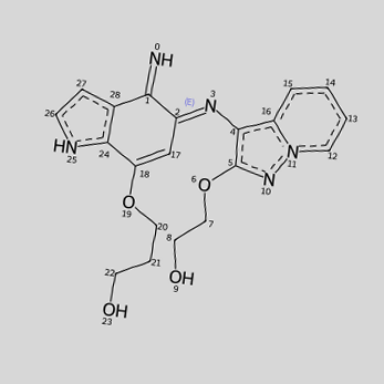 N=C1/C(=N/c2c(OCCO)nn3ccccc23)C=C(OCCCO)c2[nH]ccc21